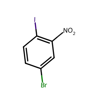 O=[N+]([O-])c1cc(Br)ccc1I